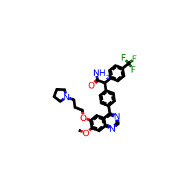 COc1cc2ncnc(-c3ccc(C(C(N)=O)c4ccc(C(F)(F)F)cc4)cc3)c2cc1OCCCN1CCCC1